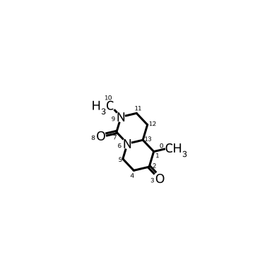 CC1C(=O)CCN2C(=O)N(C)CCC12